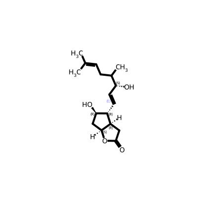 CC(C)=CCC(C)[C@H](O)/C=C/[C@@H]1[C@H]2CC(=O)O[C@H]2C[C@H]1O